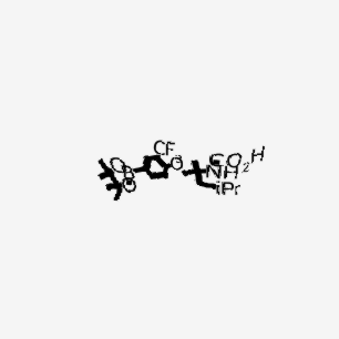 CC(C)CC(C)(COc1ccc(B2OC(C)(C)C(C)(C)O2)cc1C(F)(F)F)NC(=O)O